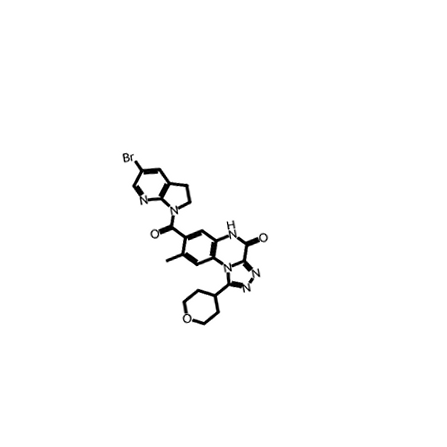 Cc1cc2c(cc1C(=O)N1CCc3cc(Br)cnc31)[nH]c(=O)c1nnc(C3CCOCC3)n12